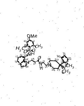 COc1cc(C)c(S(=O)(=O)Nc2cccc3ccn(CCC(=O)NCCN4CCC(c5cccs5)(N(C)C)CC4)c23)c(C)c1